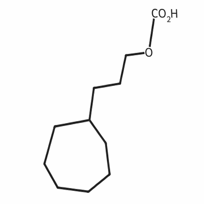 O=C(O)OCCCC1CCCCCC1